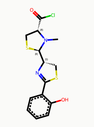 CN1[C@@H](C(=O)Cl)CS[C@@H]1[C@@H]1CSC(c2ccccc2O)=N1